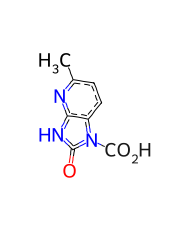 Cc1ccc2c(n1)[nH]c(=O)n2C(=O)O